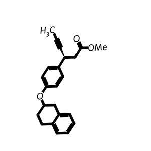 CC#C[C@@H](CC(=O)OC)c1ccc(OC2CCc3ccccc3C2)cc1